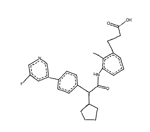 Cc1c(CCC(=O)O)cccc1NC(=O)C(c1ccc(-c2cncc(F)c2)cc1)C1CCCC1